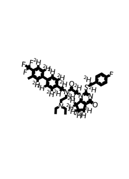 [2H]c1c([2H])c(C([2H])([2H])N(CCN(CC)CC)C(=O)C([2H])([2H])n2c(SC([2H])([2H])c3ccc(F)cc3)nc(=O)c3c2C([2H])([2H])C([2H])([2H])C3([2H])[2H])c([2H])c([2H])c1-c1c([2H])c([2H])c(C(F)(F)F)c(C)c1[2H]